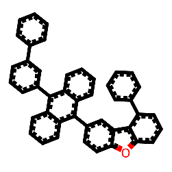 c1ccc(-c2cccc(-c3c4ccccc4c(-c4ccc5oc6cccc(-c7ccccc7)c6c5c4)c4ccccc34)c2)cc1